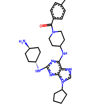 CCCCCCc1ccc(C(=O)N2CCC(Nc3nc(N[C@H]4CC[C@H](N)CC4)nc4c3ncn4C3CCCC3)CC2)cc1